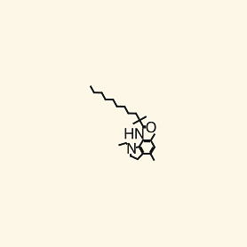 CCCCCCCCCC(C)(C)C(=O)Nc1c(C)cc(C)c2c1N(CC)CC2